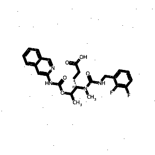 CC(OC(=O)Nc1cc2ccccc2cn1)[C@H](CCC(=O)O)N(C)C(=O)NCc1cccc(F)c1F